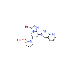 NN(Cc1cccnc1)c1cc(N2CCC[C@H]2CO)cn2c(Br)cnc12